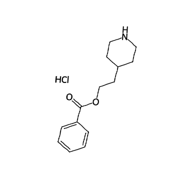 Cl.O=C(OCCC1CCNCC1)c1ccccc1